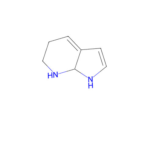 C1=CC2=CCCNC2N1